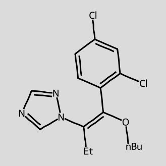 CCCCOC(=C(CC)n1cncn1)c1ccc(Cl)cc1Cl